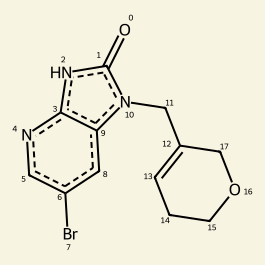 O=c1[nH]c2ncc(Br)cc2n1CC1=CCCOC1